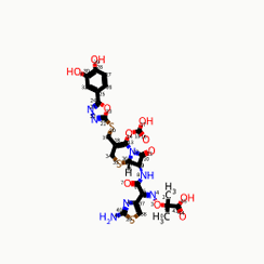 CC(C)(ON=C(C(=O)N[C@@H]1C(=O)N2C(OC(=O)O)=C(CSc3nnc(-c4ccc(O)c(O)c4)o3)CS[C@@H]12)c1csc(N)n1)C(=O)O